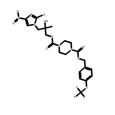 CC(O)(COC(=O)N1CCN(C(=O)OCc2ccc(OC(F)(F)F)cc2)CC1)Cn1cc([N+](=O)[O-])nc1Cl